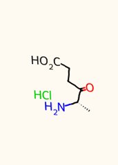 C[C@H](N)C(=O)CCC(=O)O.Cl